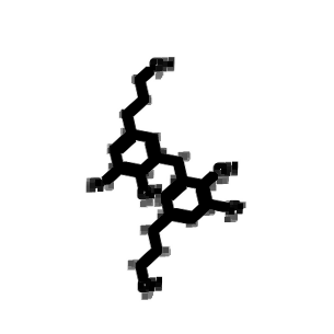 CC(C)c1cc(CCCO)cc(Cc2cc(CCCO)cc(C(C)C)c2O)c1O